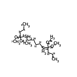 CCCC(OC)(OC)[SiH2]CCCC[SiH2]C(CCC)(OC)OC